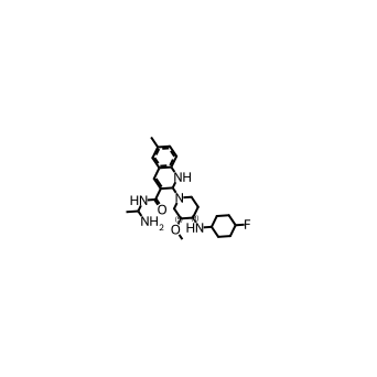 CO[C@H]1CN(C2Nc3ccc(C)cc3C=C2C(=O)NC(C)N)CC[C@H]1NC1CCC(F)CC1